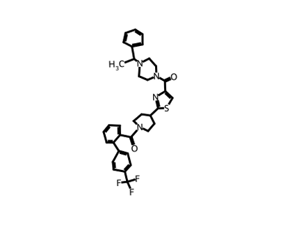 CC(c1ccccc1)N1CCN(C(=O)c2csc(C3CCN(C(=O)c4ccccc4-c4ccc(C(F)(F)F)cc4)CC3)n2)CC1